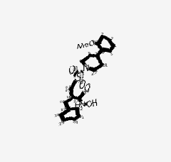 COc1ccccc1C1CCN(S(=O)(=O)CC(Cc2ccccc2)C(=O)NO)CC1